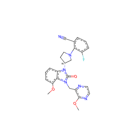 COc1nccnc1Cn1c(=O)n([C@@H]2CCN(c3c(F)cccc3C#N)C2)c2cccc(OC)c21